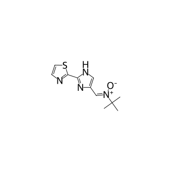 CC(C)(C)/[N+]([O-])=C/c1c[nH]c(-c2nccs2)n1